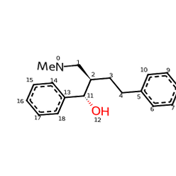 CNC[C@@H](CCc1ccccc1)[C@H](O)c1ccccc1